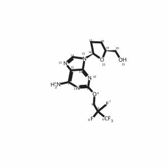 Nc1nc(OCC(F)(F)C(F)(F)F)nc2c1ncn2[C@H]1CC[C@@H](CO)O1